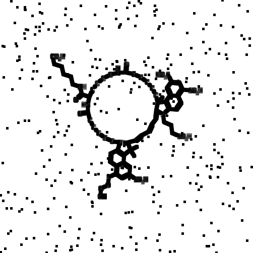 CC1(C)C2=[N+](CCCCCC(=O)NC(C(=O)NCCCCCC(=O)O)CCCCNC(=O)CCCCCC3(C)/C(=C/C=C/C=C/2)N(CCCS(=O)(=O)O)c2ccc4c(S(=O)(=O)O)cc(S(=O)(=O)O)cc4c23)c2ccc3c(SOOO)cc(S(=O)(=O)O)cc3c21